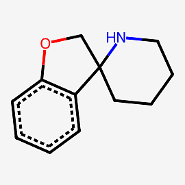 c1ccc2c(c1)OCC21CCCCN1